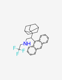 FC(F)(F)CNCC(c1c2ccccc2cc2ccccc12)C12CC3CC(CC(C3)C1)C2